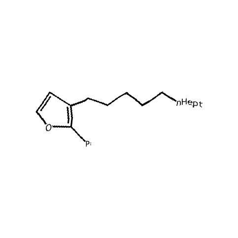 CCCCCCCCCCCCc1ccoc1[P]